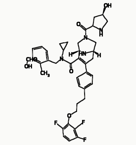 Cc1ccccc1CN(C(=O)C1=C(c2ccc(CCCOc3c(F)ccc(F)c3F)cc2)C[C@H]2CN(C(=O)C3C[C@@H](O)CN3)C[C@@H]1N2)C1CC1.O=CO